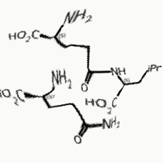 CC(C)C[C@H](NC(=O)CC[C@H](N)C(=O)O)C(=O)O.NC(=O)CC[C@H](N)C(=O)O